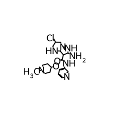 CN1CCC(Oc2ccncc2NC(=O)C2C(N)NN3CC(Cl)CNC23)CC1